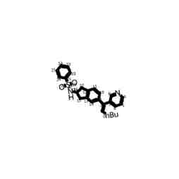 CCCCC=C(c1cccnc1)c1ccc2c(c1)CC(NS(=O)(=O)c1ccccc1)C2